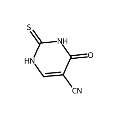 N#Cc1c[nH]c(=S)[nH]c1=O